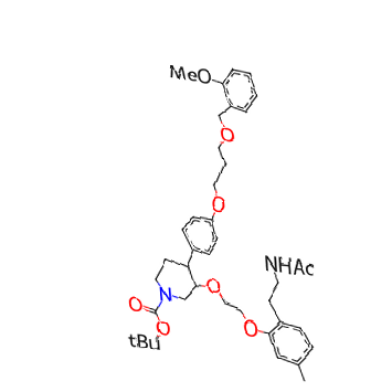 COc1ccccc1COCCCOc1ccc(C2CCN(C(=O)OC(C)(C)C)CC2OCCOc2cc(C)ccc2CCNC(C)=O)cc1